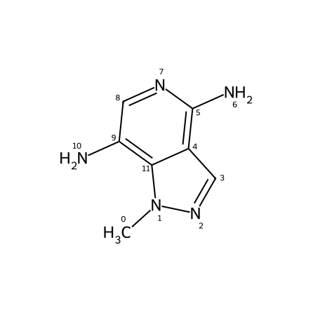 Cn1ncc2c(N)ncc(N)c21